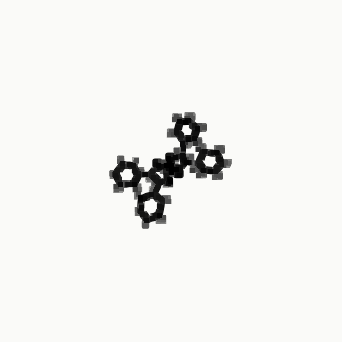 c1ccc(C2=C(c3ccccc3)S[N+]3(S2)SC(c2ccccc2)=C(c2ccccc2)S3)cc1